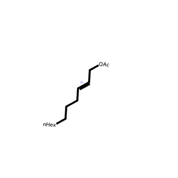 CCCCCCCCC/C=C/COC(C)=O